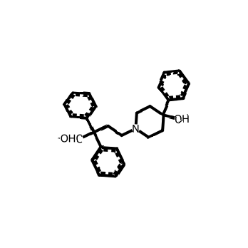 O=[C]C(CCN1CCC(O)(c2ccccc2)CC1)(c1ccccc1)c1ccccc1